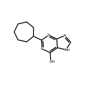 Oc1nc(C2CCCCCC2)nc2nc[nH]c12